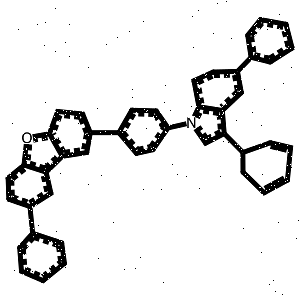 C1=CCC(c2cn(-c3ccc(-c4ccc5oc6ccc(-c7ccccc7)cc6c5c4)cc3)c3ccc(-c4ccccc4)cc23)C=C1